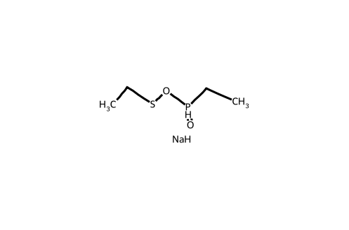 CCSO[PH](=O)CC.[NaH]